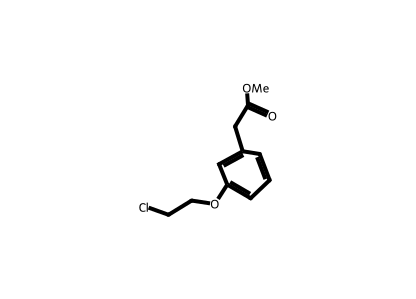 COC(=O)Cc1cccc(OCCCl)c1